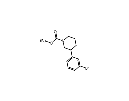 CC(C)(C)OC(=O)N1CCCC(c2cccc(Br)c2)C1